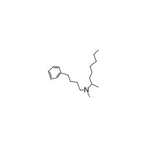 CCCCCCC(C)N(C)CCCCc1ccccc1